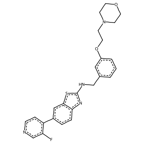 Fc1cnccc1-c1ccc2nc(NCc3cccc(OCCN4CCOCC4)c3)sc2c1